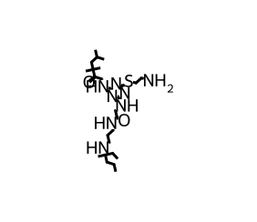 CCCC(C)(CC)NCCCNC(=O)CNc1nc(NCC(=O)C(C)(C)CC(C)C)nc(SCCN)n1